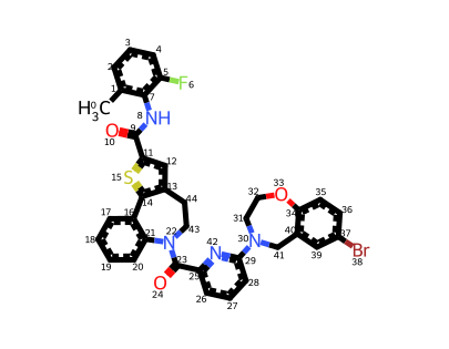 Cc1cccc(F)c1NC(=O)c1cc2c(s1)-c1ccccc1N(C(=O)c1cccc(N3CCOc4ccc(Br)cc4C3)n1)CC2